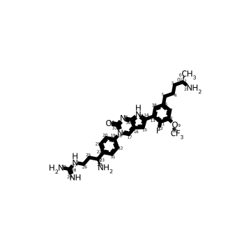 C[C@H](N)CCCc1cc(OC(F)(F)F)c(F)c(-c2cc3cn(-c4ccc([C@@H](N)CCNC(=N)N)cc4)c(=O)nc3[nH]2)c1